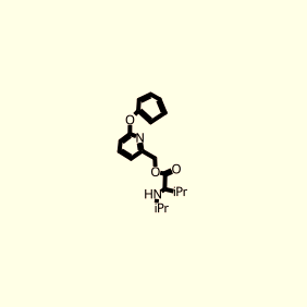 CC(C)NC(C(=O)OCc1cccc(Oc2ccccc2)n1)C(C)C